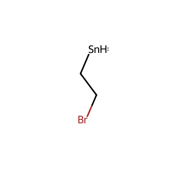 BrC[CH2][SnH]